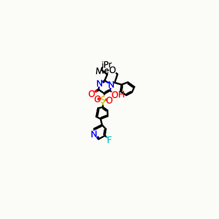 COCC(c1ccccc1)n1c(CCC(C)C)nc(=O)c(S(=O)(=O)c2ccc(-c3cncc(F)c3)cc2)c1O